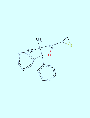 CC(C)(C)[Si](OCC1CS1)(c1ccccc1)c1ccccc1